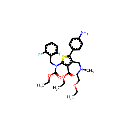 CCOCCN(C)Cc1c(-c2ccc(N)cc2)sc(N(Cc2c(F)cccc2F)C(=O)OCC)c1C(=O)OCC